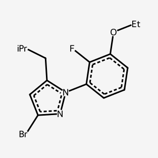 CCOc1cccc(-n2nc(Br)cc2CC(C)C)c1F